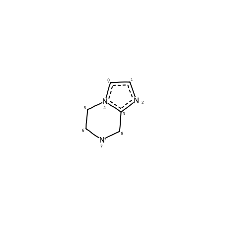 [c]1cnc2n1CC[N]C2